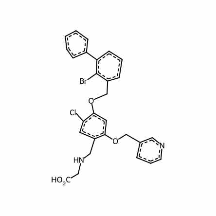 O=C(O)CNCc1cc(Cl)c(OCc2cccc(-c3ccccc3)c2Br)cc1OCc1cccnc1